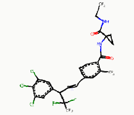 O=C(NC1(C(=O)NCC(F)(F)F)CC1)c1ccc(/C=C/C(c2cc(Cl)c(Cl)c(Cl)c2)C(F)(F)C(F)(F)F)cc1C(F)(F)F